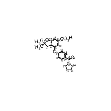 CC1(C)Cc2c(Oc3ccc(C(=O)N4CCCC4)nc3)cc(C(=O)O)cc2O1